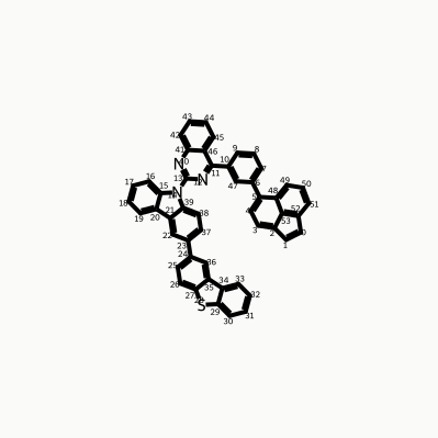 C1=Cc2ccc(-c3cccc(-c4nc(-n5c6ccccc6c6cc(-c7ccc8sc9ccccc9c8c7)ccc65)nc5ccccc45)c3)c3cccc1c23